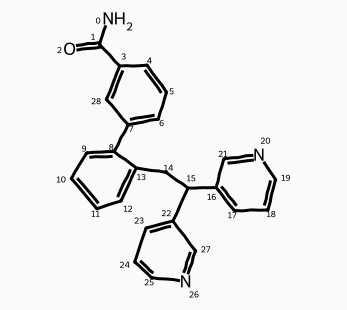 NC(=O)c1cccc(-c2ccccc2CC(c2cccnc2)c2cccnc2)c1